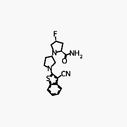 N#Cc1c(N2CC[C@H](N3C[C@@H](F)C[C@H]3C(N)=O)C2)sc2ccccc12